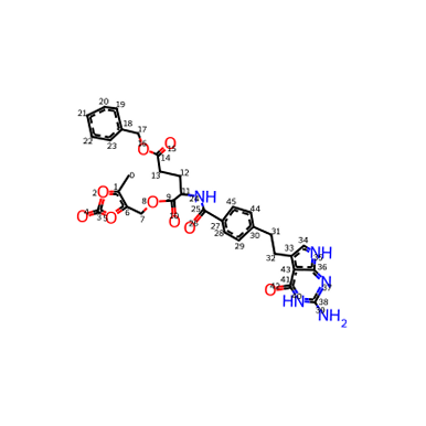 Cc1oc(=O)oc1COC(=O)C(CCC(=O)OCc1ccccc1)NC(=O)c1ccc(CCc2c[nH]c3nc(N)[nH]c(=O)c23)cc1